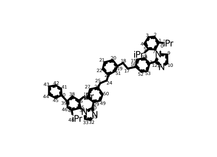 CC(C)c1cccc(C(C)C)c1-n1ccnc1-c1ccc(CCc2cccc(CCc3ccc(-c4nccn4-c4c(C(C)C)cc(-c5ccccc5)cc4C(C)C)cc3)c2)cc1